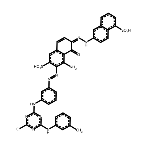 Cc1cccc(Nc2nc(Cl)nc(Nc3cccc(/N=N/c4c(S(=O)(=O)O)cc5c(c4N)C(=O)/C(=N\Nc4ccc6c(S(=O)(=O)O)cccc6c4)C=C5)c3)n2)c1